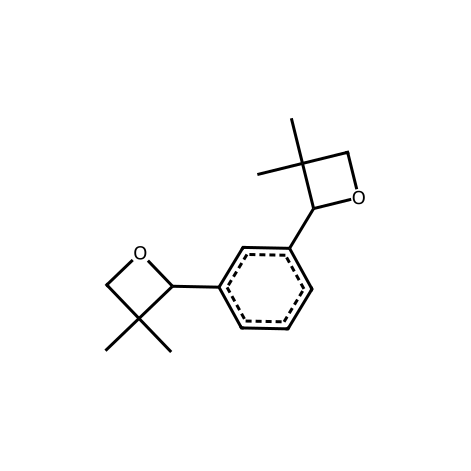 CC1(C)COC1c1cccc(C2OCC2(C)C)c1